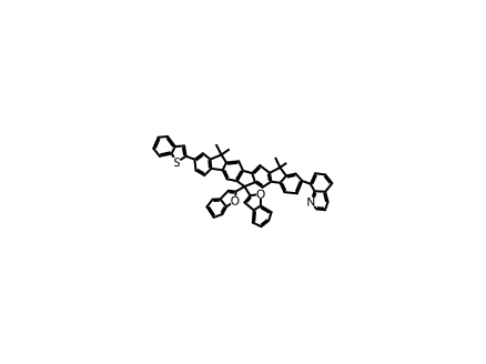 CC1(C)c2cc(-c3cc4ccccc4s3)ccc2-c2cc3c(cc21)-c1cc2c(cc1C3(c1cc3ccccc3o1)c1cc3ccccc3o1)-c1ccc(-c3cccc4cccnc34)cc1C2(C)C